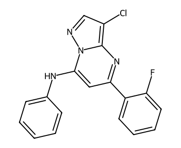 Fc1ccccc1-c1cc(Nc2ccccc2)n2ncc(Cl)c2n1